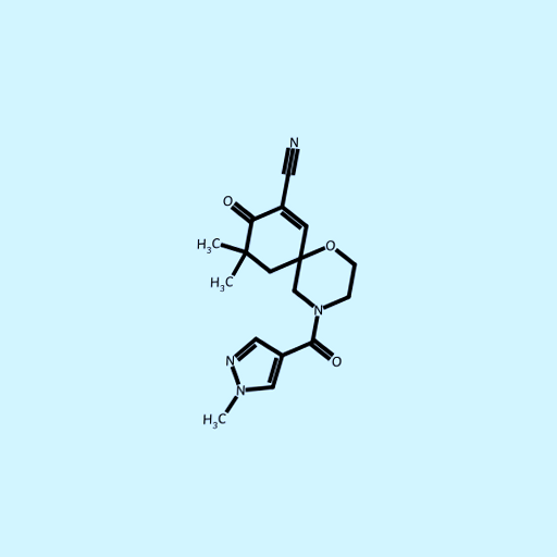 Cn1cc(C(=O)N2CCOC3(C=C(C#N)C(=O)C(C)(C)C3)C2)cn1